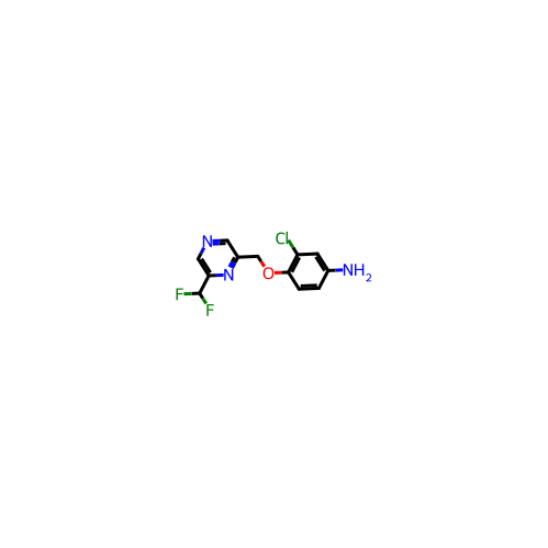 Nc1ccc(OCc2cncc(C(F)F)n2)c(Cl)c1